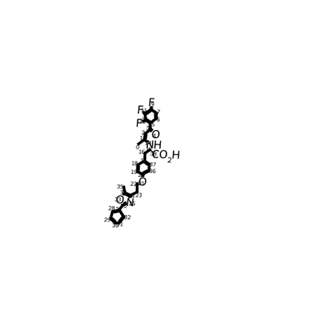 C/C(=C/C(=O)c1ccc(F)c(F)c1F)N[C@@H](Cc1ccc(OCCc2nc(-c3ccccc3)oc2C)cc1)C(=O)O